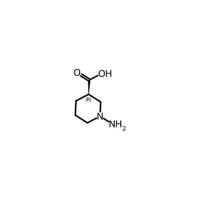 NN1CCC[C@@H](C(=O)O)C1